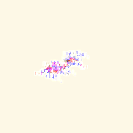 CC(C)NCC[C@H](NC(=O)[C@H](CS)NC(=O)[C@H](CCCCN)NC(=O)[C@@H](CCN)NC(=O)[C@@H](NC(=O)[C@H](CCNC(C)C)NC(=O)[C@H](CCCNC(=N)N)NC(=O)[C@H](CC(N)=O)NC(=O)[C@@H](NC(=O)[C@H](Cc1ccc(O)cc1)NC(=O)[C@@H](N)[C@@H](C)O)C(C)(C)S)[C@@H](C)O)C(=O)N[C@@H](CCCNC(=N)N)C(=O)N[C@@H](Cc1ccc(O)cc1)C(=O)O